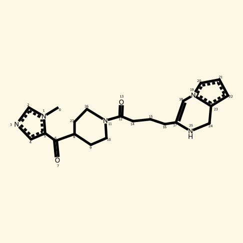 Cn1cncc1C(=O)C1CCN(C(=O)CCCC2=Cn3cccc3CN2)CC1